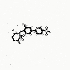 CC1CC[C@H](C)N(Cc2ccc(-c3ccc(S(C)(=O)=O)cn3)cc2F)S1(=O)=O